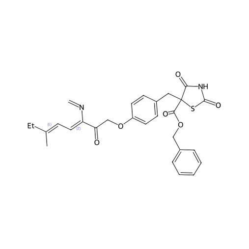 C=N/C(=C\C=C(/C)CC)C(=O)COc1ccc(CC2(C(=O)OCc3ccccc3)SC(=O)NC2=O)cc1